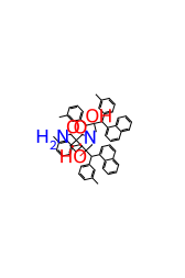 Cc1cccc(CC(O)(CN(CC(O)(Cc2cccc(C)c2)C(c2cccc(C)c2)c2cccc3ccccc23)C(=O)C2(C(N)=O)CCC2)C(c2cccc(C)c2)c2cccc3ccccc23)c1